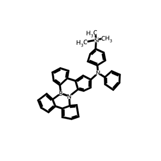 C[Si](C)(C)c1ccc(N(c2ccccc2)c2ccc3c(c2)-c2ccccc2B2c4ccccc4-c4ccccc4N23)cc1